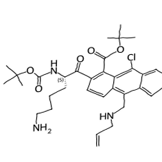 C=CCNCc1c2ccccc2c(Cl)c2c(C(=O)OC(C)(C)C)c(C(=O)[C@H](CCCCN)NC(=O)OC(C)(C)C)ccc12